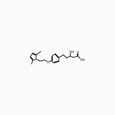 Cc1ccc(C)n1CCOc1ccc(CCC(O)CC(=O)O)cc1